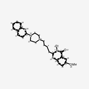 CCn1c(CCCCN2CCN(c3ccc4ccccc4n3)CC2)nc2ccc(OC)cc2c1=O